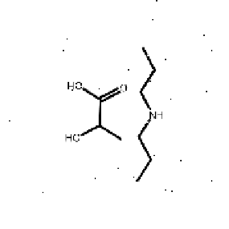 CC(O)C(=O)O.CCCNCCC